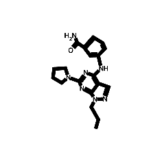 CCCn1ncc2c(Nc3cccc(C(N)=O)c3)nc(N3CCCC3)nc21